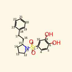 O=S(=O)(c1ccc(O)c(O)c1)N1CCC[C@H]1CCc1ccccc1